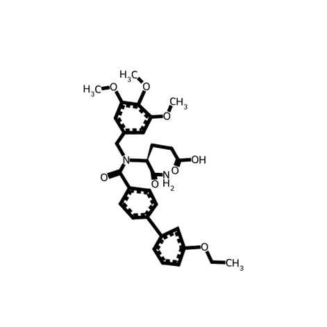 CCOc1cccc(-c2ccc(C(=O)N(Cc3cc(OC)c(OC)c(OC)c3)[C@@H](CCC(=O)O)C(N)=O)cc2)c1